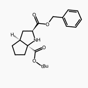 CC(C)(C)OC(=O)[C@]12CCC[C@H]1C[C@@H](C(=O)OCc1ccccc1)N2